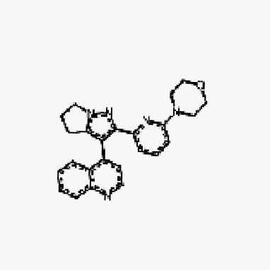 c1cc(-c2nn3c(c2-c2ccnc4ccccc24)CCC3)nc(N2CCOCC2)c1